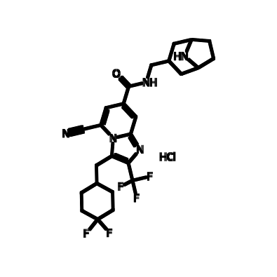 Cl.N#Cc1cc(C(=O)NCC2CC3CCC(C2)N3)cc2nc(C(F)(F)F)c(CC3CCC(F)(F)CC3)n12